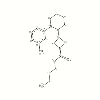 CCCCOC(=O)N1CC(C2CCCCN2c2cccc(C)c2)C1